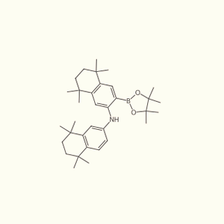 CC1(C)CCC(C)(C)c2cc(Nc3cc4c(cc3B3OC(C)(C)C(C)(C)O3)C(C)(C)CCC4(C)C)ccc21